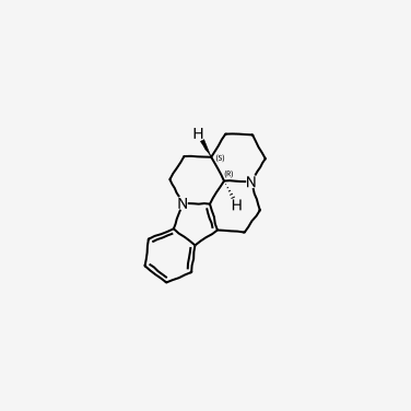 c1ccc2c(c1)c1c3n2CC[C@@H]2CCCN(CC1)[C@@H]32